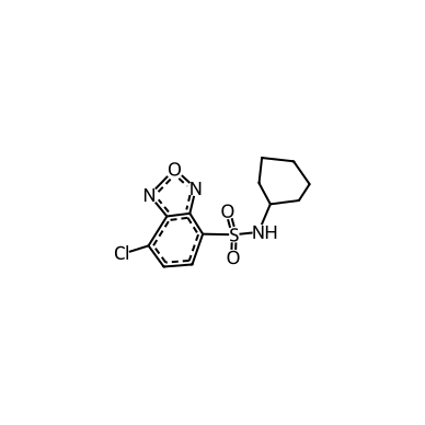 O=S(=O)(NC1CCCCC1)c1ccc(Cl)c2nonc12